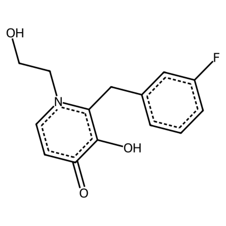 O=c1ccn(CCO)c(Cc2cccc(F)c2)c1O